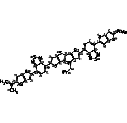 CNc1cc2sc(-c3ccc(-c4cc5c(s4)c4sc6cc(-c7ccc(-c8cc9sc(N(C)C)cc9s8)c8nsnc78)sc6c4n5CC(C)C)c4nsnc34)cc2s1